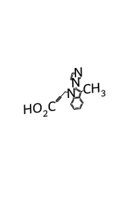 Cc1c(-n2ccnc2)n(CC#CC(=O)O)c2ccccc12